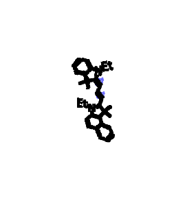 CCN1/C(=C/C=C/C2=[N+](CC)c3ccc4ccccc4c3C2(C)C)C(C)(C)c2ccccc21